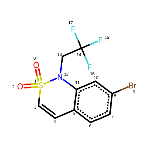 O=S1(=O)C=Cc2ccc(Br)cc2N1CC(F)(F)F